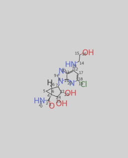 CNC(=O)[C@@]12C[C@@H]1[C@@H](n1cnc3c(NCCO)cc(Cl)nc31)[C@H](O)[C@@H]2O